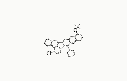 CC(C)(C)Oc1cccc2cc3c(-c4ccccc4)c4c(cc3cc12)-c1cc2ccccc2c2c(Cl)ccc-4c12